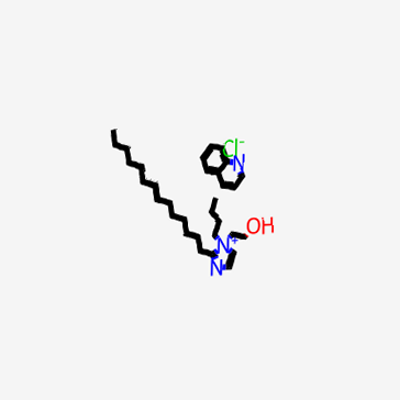 CCCCCCCCCCCCCCC1=NC=C[N+]1(CCO)CCCC.[Cl-].c1ccc2ncccc2c1